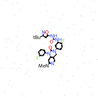 CNc1cc2c(cn1)CN(c1ccc(F)c(NC(=O)Nc3cc(C(C)(C)C)no3)c1)C(=O)N2c1cccc(F)c1